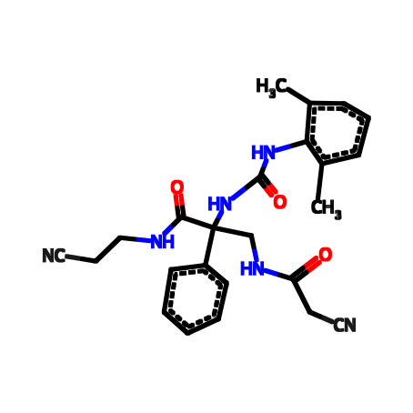 Cc1cccc(C)c1NC(=O)NC(CNC(=O)CC#N)(C(=O)NCCC#N)c1ccccc1